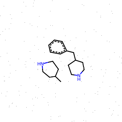 CC1CCNCC1.c1ccc(CC2CCNCC2)cc1